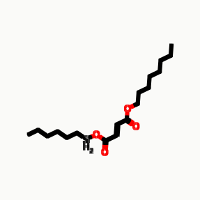 CCCCCCCCOC(=O)C=CC(=O)O[SiH2]CCCCCC